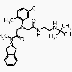 Cc1ccc(Cl)cc1N(CC(=O)NCCNC(C)(C)C)CC(=O)N(C)N1Cc2ccccc2C1